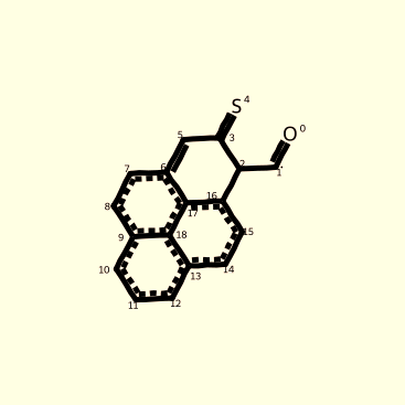 O=[C]C1C(=S)C=c2ccc3cccc4ccc1c2c43